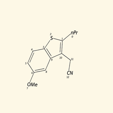 CCCc1sc2ccc(OC)cc2c1CC#N